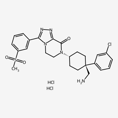 CS(=O)(=O)c1cccc(-c2nnc3n2CCN([C@H]2CC[C@@](CN)(c4cccc(Cl)c4)CC2)C3=O)c1.Cl.Cl